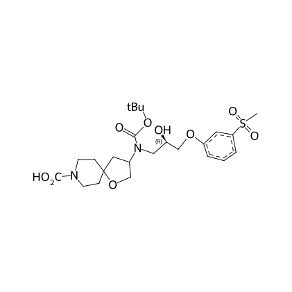 CC(C)(C)OC(=O)N(C[C@@H](O)COc1cccc(S(C)(=O)=O)c1)C1COC2(CCN(C(=O)O)CC2)C1